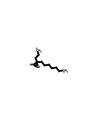 CCCCCCCC1(CCC)NN1